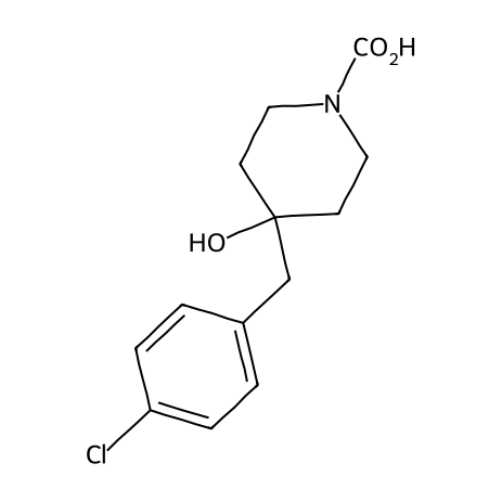 O=C(O)N1CCC(O)(Cc2ccc(Cl)cc2)CC1